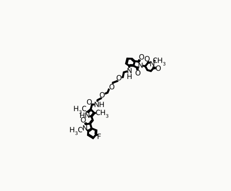 Cc1[nH]c(/C=C2\C(=O)N(C)c3ccc(F)cc32)c(C)c1C(=O)NCCOCCOCCOCCNc1cccc2c1C(=O)N(C1CCC(=O)N(C)C1=O)C2=O